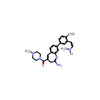 CCN(C)/C=C\c1cc(-c2ccc3c(c2)N=C(N)CC(C(=O)N2CCN(C)CC2)=C3)ccc1C=O